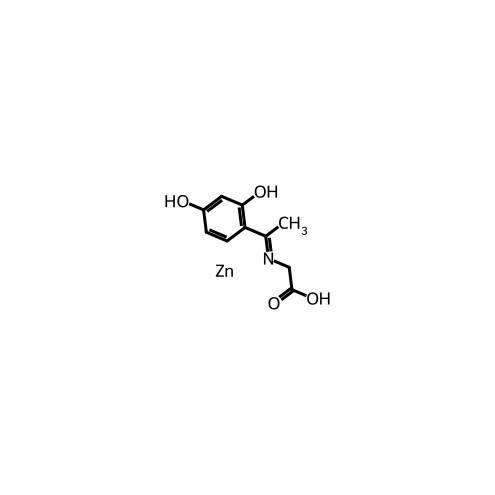 C/C(=N\CC(=O)O)c1ccc(O)cc1O.[Zn]